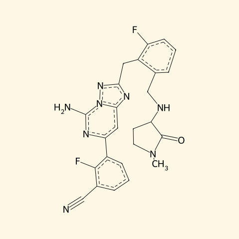 CN1CCC(NCc2cccc(F)c2Cc2nc3cc(-c4cccc(C#N)c4F)nc(N)n3n2)C1=O